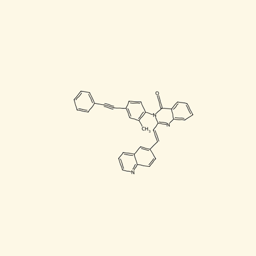 Cc1cc(C#Cc2ccccc2)ccc1-n1c(C=Cc2ccc3ncccc3c2)nc2ccccc2c1=O